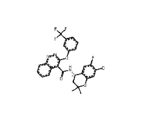 CC1(C)C[C@H](NC(=O)c2c(Oc3cccc(C(F)(F)F)c3)nnc3ccccc23)c2cc(F)c(Cl)cc2O1